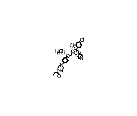 CCC(=O)N1CCN(c2ccc(OCC3COC(Cn4cncn4)(c4ccc(Cl)cc4Cl)O3)cc2)CC1.Cl.Cl